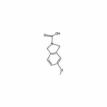 COc1ccc2c(c1)CN(C(=O)O)C2